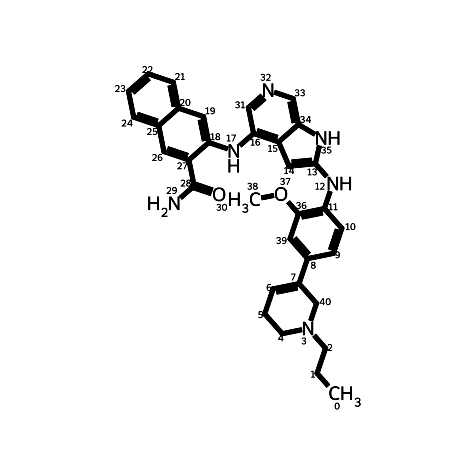 CCCN1CCC=C(c2ccc(Nc3cc4c(Nc5cc6ccccc6cc5C(N)=O)cncc4[nH]3)c(OC)c2)C1